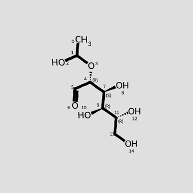 CC(O)O[C@@H](C=O)[C@@H](O)[C@H](O)[C@H](O)CO